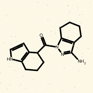 Nc1nn(C(=O)C2CCCc3[nH]ccc32)c2c1CCCC2